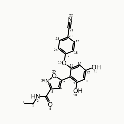 CCNC(=O)c1cc(-c2c(O)cc(O)cc2Oc2ccc(C#N)cc2)on1